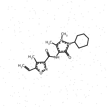 C=Cc1onc(C(=O)Nc2c(C)n(C)n(C3CCCCC3)c2=O)c1C